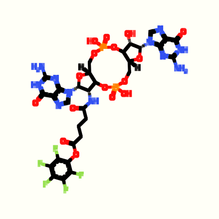 Nc1nc2c(ncn2[C@@H]2O[C@@H]3COP(=O)(O)OC4[C@@H](COP(=O)(O)OC3[C@@H]2O)O[C@@H](n2cnc3c(=O)[nH]c(N)nc32)[C@H]4NC(=O)CCCC(=O)Oc2c(F)c(F)c(F)c(F)c2F)c(=O)[nH]1